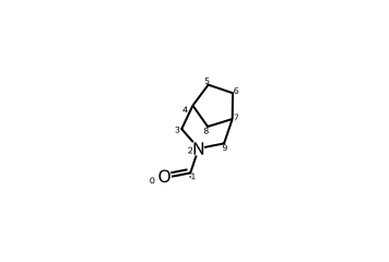 O=[C]N1CC2CCC(C2)C1